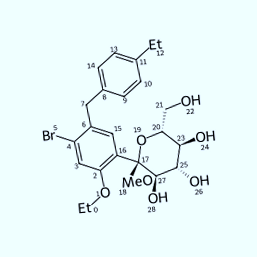 CCOc1cc(Br)c(Cc2ccc(CC)cc2)cc1[C@]1(OC)O[C@H](CO)[C@@H](O)[C@H](O)[C@H]1O